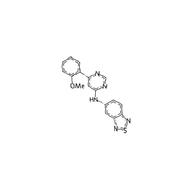 COc1ccccc1-c1cc(Nc2ccc3nsnc3c2)ncn1